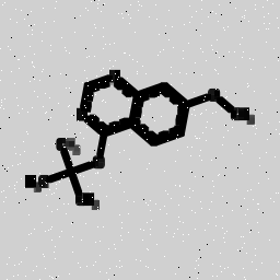 COc1ccc2c(OC(C)(C)C)ncnc2c1